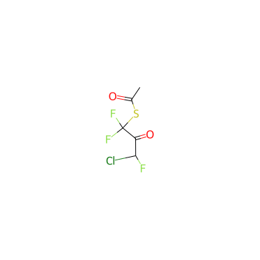 CC(=O)SC(F)(F)C(=O)C(F)Cl